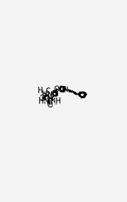 CNc1cc(OC2CCN(CCCCC3CCCCC3)CC2)ccc1C(=N)C1CCC(=O)NC1=O